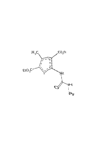 CCOC(=O)c1sc(NC(=O)NC(C)C)c(C(=O)OCC)c1C